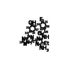 CCc1c(N)nc(-c2cn3ncnc3c(Cc3cccc(O)c3)n2)nc1NC(=O)Cc1ccc(F)cc1